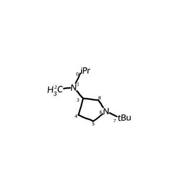 CC(C)N(C)C1CCN(C(C)(C)C)C1